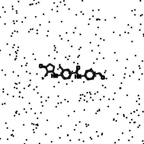 CC1=C(Nc2ccc(C(=O)Nc3ccc(C=O)cc3)cc2I)CCC1=O